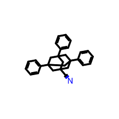 N#CC12CC3(c4ccccc4)CC(c4ccccc4)(C1)CC(c1ccccc1)(C2)C3